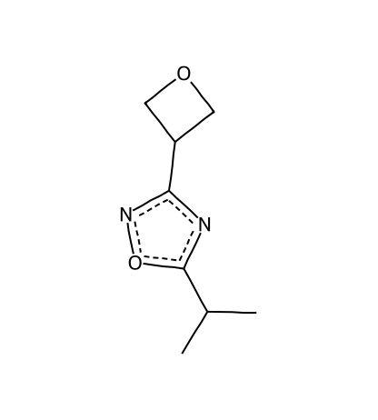 CC(C)c1nc(C2COC2)no1